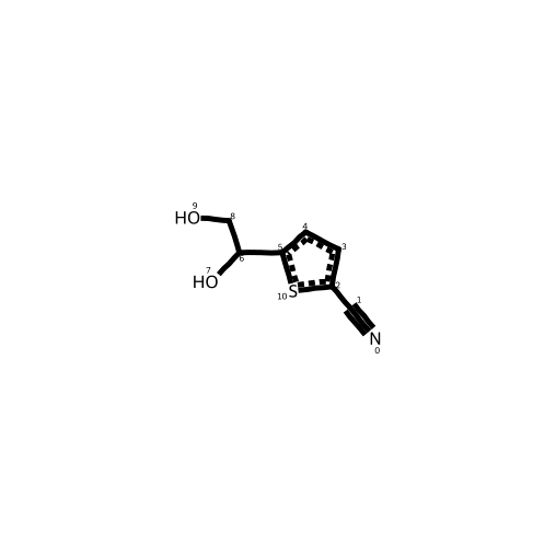 N#Cc1ccc(C(O)CO)s1